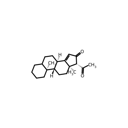 CC(=O)[C@H]1C(=O)C=C2[C@@H]3CCC4CCCC[C@]4(C)[C@H]3CC[C@@]21C